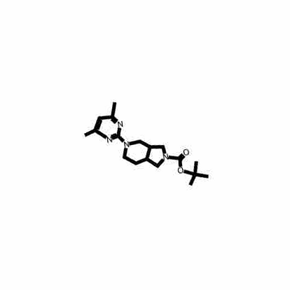 Cc1cc(C)nc(N2CCC3CN(C(=O)OC(C)(C)C)CC3C2)n1